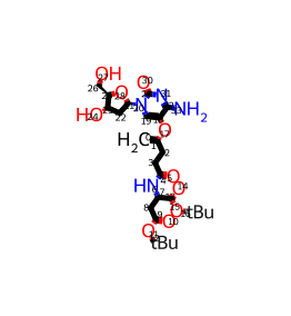 C=C(CCC(=O)NC(CC(=O)OC(C)(C)C)C(=O)OC(C)(C)C)Oc1cn([C@H]2C[C@@H](O)[C@@H](CO)O2)c(=O)nc1N